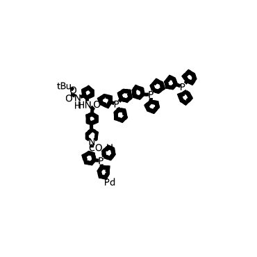 CC(C)(C)OC(=O)Nc1ccccc1NC(=O)c1ccc(C2=CCN(C(=O)O)CC2)cc1.[Pd].c1ccc(P(c2ccccc2)c2ccccc2)cc1.c1ccc(P(c2ccccc2)c2ccccc2)cc1.c1ccc(P(c2ccccc2)c2ccccc2)cc1.c1ccc(P(c2ccccc2)c2ccccc2)cc1